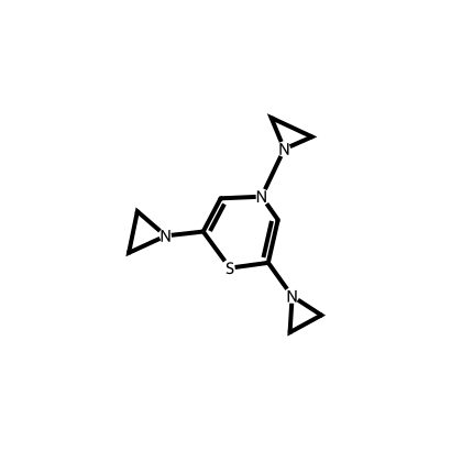 C1=C(N2CC2)SC(N2CC2)=CN1N1CC1